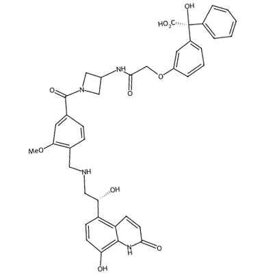 COc1cc(C(=O)N2CC(NC(=O)COc3cccc([C@](O)(C(=O)O)c4ccccc4)c3)C2)ccc1CNC[C@H](O)c1ccc(O)c2[nH]c(=O)ccc12